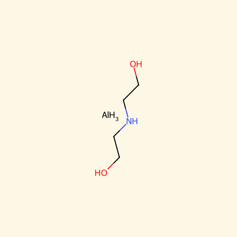 OCCNCCO.[AlH3]